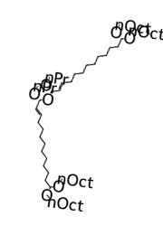 CCCCCCCCOC(CCCCCCCCCC=CC(OCCC)OC(C=CCCCCCCCCCC(OCCCCCCCC)OCCCCCCCC)OCCC)OCCCCCCCC